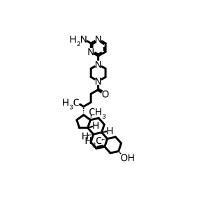 CC(CCC(=O)N1CCN(c2ccnc(N)n2)CC1)[C@H]1CC[C@H]2[C@@H]3CC=C4C[C@@H](O)CC[C@]4(C)[C@H]3CC[C@]12C